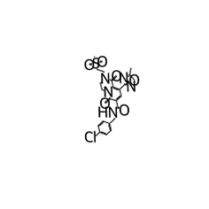 Cc1nc(-c2cc(C(=O)NCc3ccc(Cl)cc3)c(=O)n3c2C(=O)N(CCS(C)(=O)=O)CC3)no1